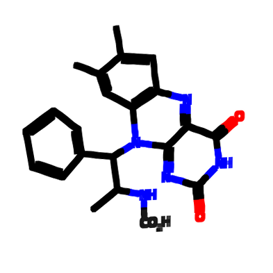 Cc1cc2nc3c(=O)[nH]c(=O)nc-3n(C(c3ccccc3)C(C)NC(=O)O)c2cc1C